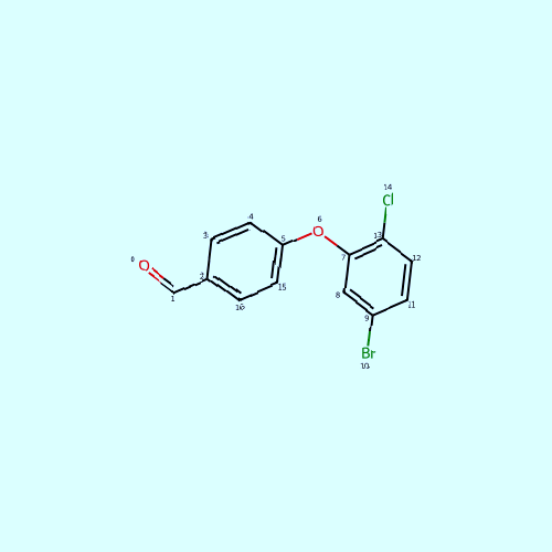 O=Cc1ccc(Oc2cc(Br)ccc2Cl)cc1